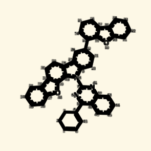 C1=CCCC(c2nc(-n3c4ccc(-c5cccc6c5oc5ccccc56)cc4c4ccc5c6ccccc6oc5c43)nc3ccccc23)=C1